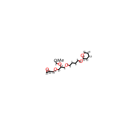 COCOC(COCCCCOC1CCCCO1)COCC1CO1